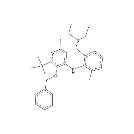 CCN(CC)Cc1cccc(C)c1Pc1cc(C)cc(C(C)(C)C)c1OCc1ccccc1